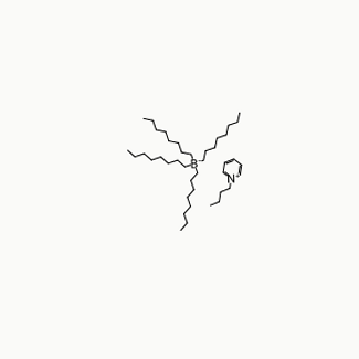 CCCCCCCC[B-](CCCCCCCC)(CCCCCCCC)CCCCCCCC.CCCC[n+]1ccccc1